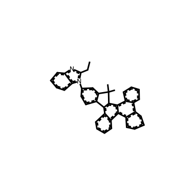 CCc1nc2ccccc2n1-c1ccc2c(c1)C(C)(C)c1c-2c2ccccc2c2c3ccccc3c3ccccc3c12